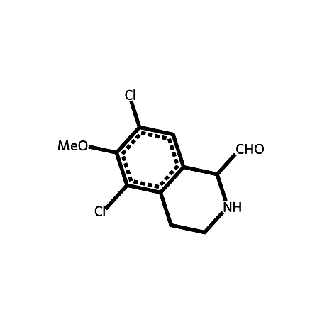 COc1c(Cl)cc2c(c1Cl)CCNC2C=O